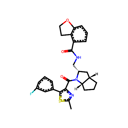 Cc1nc(C(=O)N2[C@H](CNC(=O)c3cccc4c3CCO4)C[C@@H]3CCC[C@@H]32)c(-c2cccc(F)c2)s1